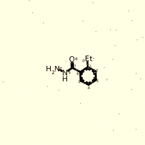 C[CH]c1ccccc1C(=O)NN